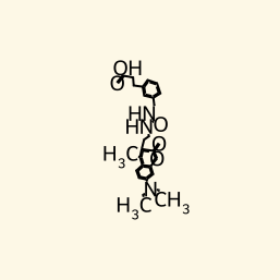 CCN(CC)c1ccc2c(C)c(CCNC(=O)NCc3cccc(CCC(=O)O)c3)c(=O)oc2c1